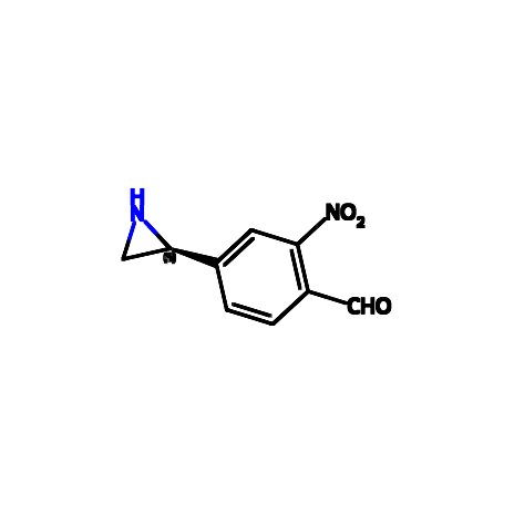 O=Cc1ccc([C@H]2CN2)cc1[N+](=O)[O-]